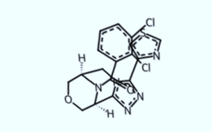 O=C(c1cccc(Cl)c1Cl)N1[C@H]2COC[C@@H]1c1nnc(-c3cscn3)n1C2